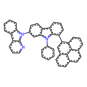 c1ccc(-n2c3cc(-n4c5ccccc5c5cccnc54)ccc3c3cccc(-c4cc5cccc6ccc7cccc4c7c65)c32)cc1